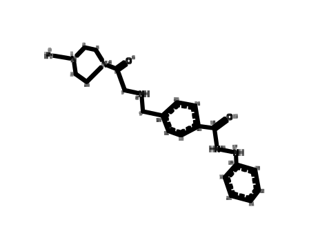 CC(C)N1CCN(C(=O)CNCc2ccc(C(=O)NNc3ccccc3)cc2)CC1